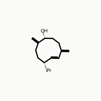 C=C1/C=C/[C@H](C(C)C)CCC(=C)[C@H](O)CC1